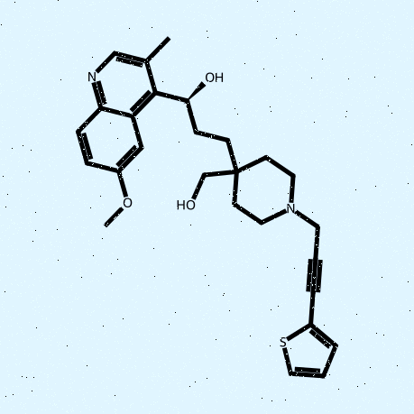 COc1ccc2ncc(C)c([C@@H](O)CCC3(CO)CCN(CC#Cc4cccs4)CC3)c2c1